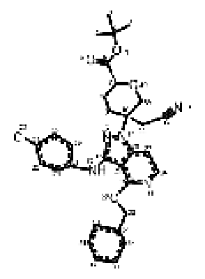 CC(C)(C)OC(=O)[C@@H]1CC[C@@](CC#N)(n2nc(Nc3ccc(Cl)cc3)c3c(OCc4ccccc4)nccc32)CO1